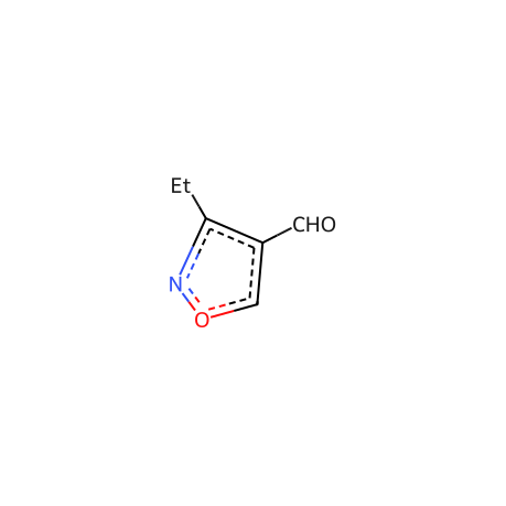 CCc1nocc1C=O